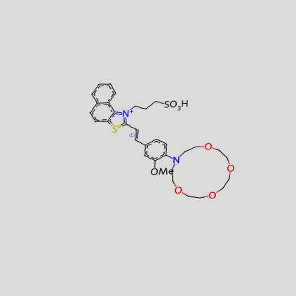 COc1cc(/C=C/c2sc3ccc4ccccc4c3[n+]2CCCS(=O)(=O)O)ccc1N1CCOCCOCCOCCOCC1